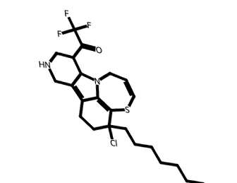 CCCCCCCCCC1(Cl)CCC2=C3CNCC(C(=O)C(F)(F)F)C3N3CC=CSC1=C23